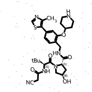 Cc1ncsc1-c1ccc(CNC(=O)[C@@H]2C[C@@H](O)CN2C(=O)[C@@H](NC(=O)CC#N)C(C)(C)C)c(OC2CCNCC2)c1